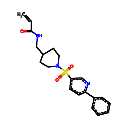 C=CC(=O)NCC1CCN(S(=O)(=O)c2ccc(-c3ccccc3)nc2)CC1